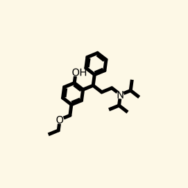 CCOCc1ccc(O)c(C(CCN(C(C)C)C(C)C)c2ccccc2)c1